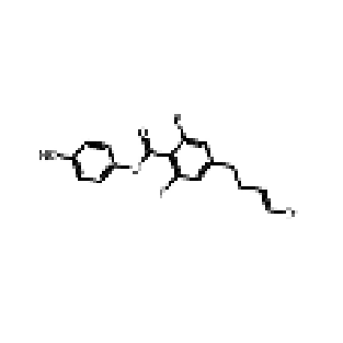 CCC=CCCc1cc(F)c(C(=O)Oc2ccc(C#N)cc2)c(F)c1